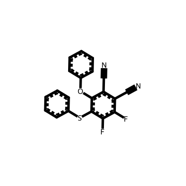 N#Cc1c(F)c(F)c(Sc2ccccc2)c(Oc2ccccc2)c1C#N